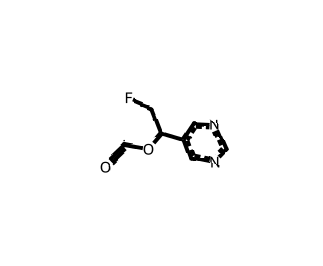 O=[C]OC(CF)c1cncnc1